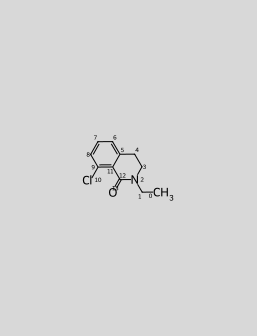 CCN1CCc2cccc(Cl)c2C1=O